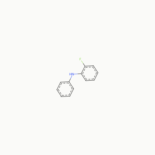 Fc1ccccc1Nc1cc[c]cc1